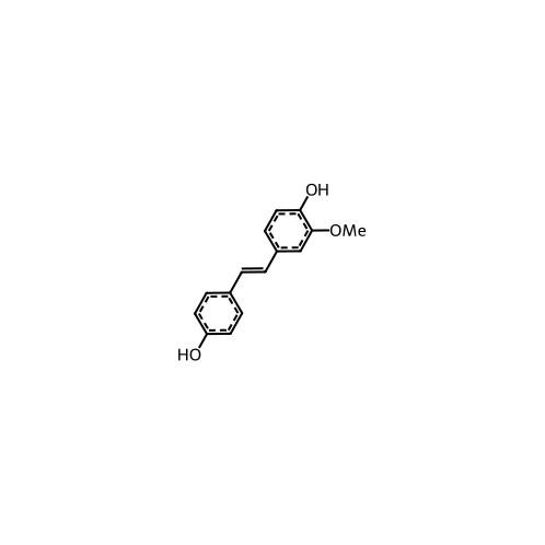 COc1cc(/C=C/c2ccc(O)cc2)ccc1O